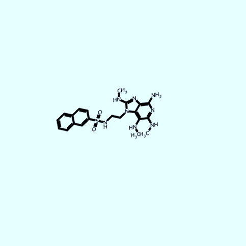 CNc1nc(N)c2nc(NC)n(CCNS(=O)(=O)c3ccc4ccccc4c3)c2c1NC